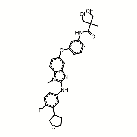 Cn1c(Nc2ccc(F)c(C3CCOC3)c2)nc2cc(Oc3ccnc(NC(=O)C(C)(CO)CO)c3)ccc21